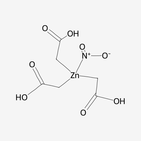 O=C(O)[CH2][Zn]([CH2]C(=O)O)([CH2]C(=O)O)[N+](=O)[O-]